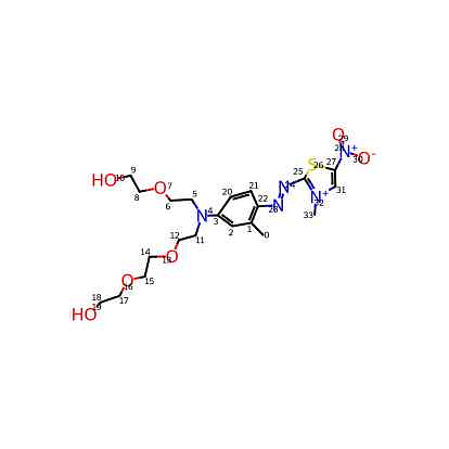 Cc1cc(N(CCOCCO)CCOCCOCCO)ccc1/N=N/c1sc([N+](=O)[O-])c[n+]1C